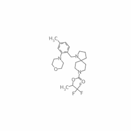 Cc1ccc(CN2CCCC23CCN(C(=O)OC(C)C(F)(F)F)CC3)c(N2CCOCC2)c1